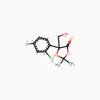 CC1(C)OC(=O)C(CO)(c2ccc(Cl)cc2Cl)O1